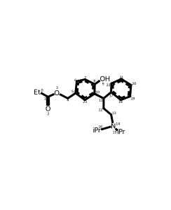 CCC(=O)OCc1ccc(O)c(C(CCN(C(C)C)C(C)C)c2ccccc2)c1